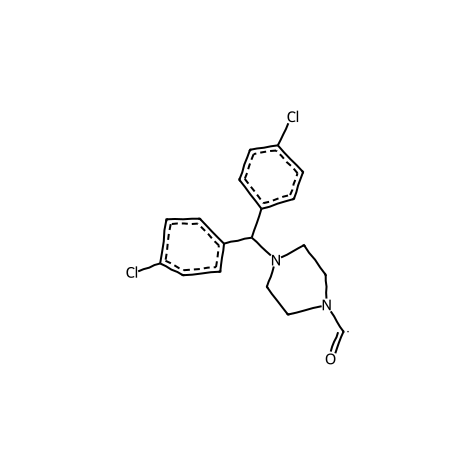 O=[C]N1CCN(C(c2ccc(Cl)cc2)c2ccc(Cl)cc2)CC1